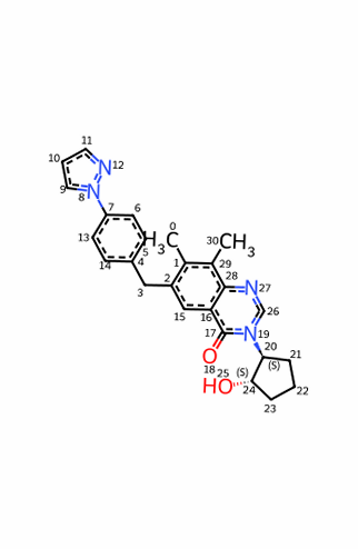 Cc1c(Cc2ccc(-n3cccn3)cc2)cc2c(=O)n([C@H]3CCC[C@@H]3O)cnc2c1C